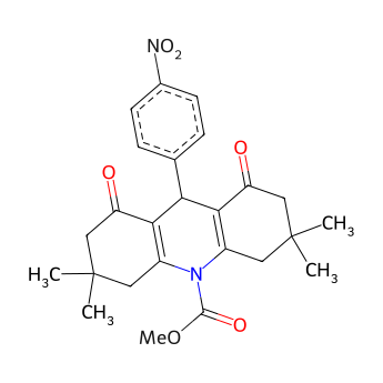 COC(=O)N1C2=C(C(=O)CC(C)(C)C2)C(c2ccc([N+](=O)[O-])cc2)C2=C1CC(C)(C)CC2=O